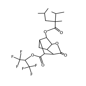 CC(C)CC(C)(C(=O)OC1C2CC3C1OC(=O)C3C2C(=O)OC(C(F)(F)F)C(F)(F)F)C(C)C